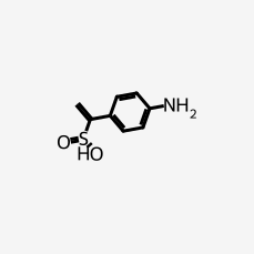 C=C(c1ccc(N)cc1)[SH](=O)=O